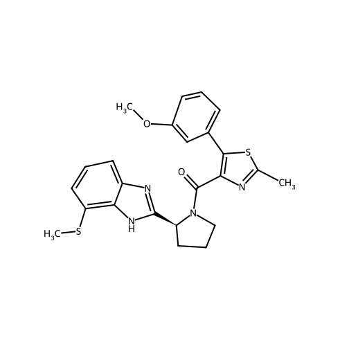 COc1cccc(-c2sc(C)nc2C(=O)N2CCC[C@H]2c2nc3cccc(SC)c3[nH]2)c1